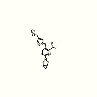 CCOCc1cnn(Cc2ccc(N3CC4CC4C3)nc2C(F)F)c1